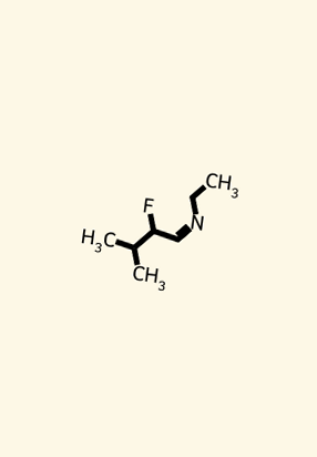 CC/N=C\C(F)C(C)C